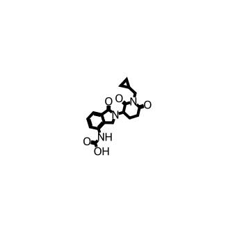 O=C(O)Nc1cccc2c1CN(C1CCC(=O)N(CC3CC3)C1=O)C2=O